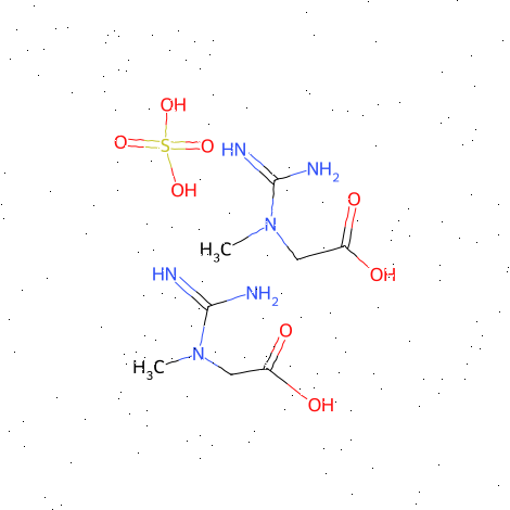 CN(CC(=O)O)C(=N)N.CN(CC(=O)O)C(=N)N.O=S(=O)(O)O